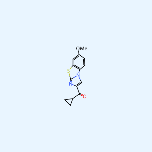 COc1ccc2c(c1)sc1nc(C(=O)C3CC3)cn12